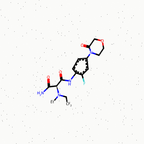 CCN(CC(F)(F)F)[C@@H](C(N)=O)C(=O)Nc1ccc(N2CCOCC2=O)cc1F